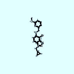 COc1cccc(COc2ccc3c(nnn3CC3CC3)c2Br)n1